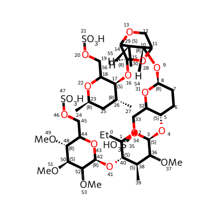 CCC1O[C@@H](O[C@H]2CC[C@H](O[C@H]3C4COC([C@H](O[C@@H]5C(COS(=O)(=O)O)O[C@H](C)C[C@H]5C)O4)[C@H]3C)OC2COS(=O)(=O)O)C(OC)[C@@H](C)[C@@H]1O[C@@H]1OC(COS(=O)(=O)O)[C@@H](OC)[C@H](OC)C1OC